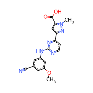 COc1cc(C#N)cc(Nc2nccc(-c3cc(C(=O)O)n(C)n3)n2)c1